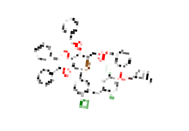 CCOc1cc(F)c(Cc2cc([C@@H]3S[C@H](COCc4ccccc4)[C@@H](OCc4ccccc4)[C@H](OCc4ccccc4)[C@H]3OCc3ccccc3)ccc2Cl)cc1F